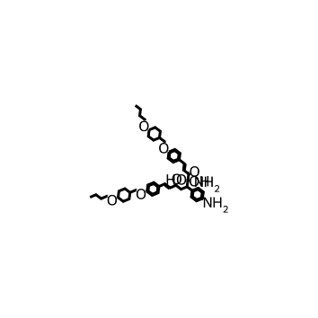 CCCCOC1CCC(COc2ccc(C=CC(=O)CC(c3ccc(N)cc3N)C(O)(O)C(=O)C=Cc3ccc(OCC4CCC(OCCCC)CC4)cc3)cc2)CC1